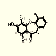 Cc1cccc2c1Oc1c(O)c(O)cc(O)c1C(=O)C2